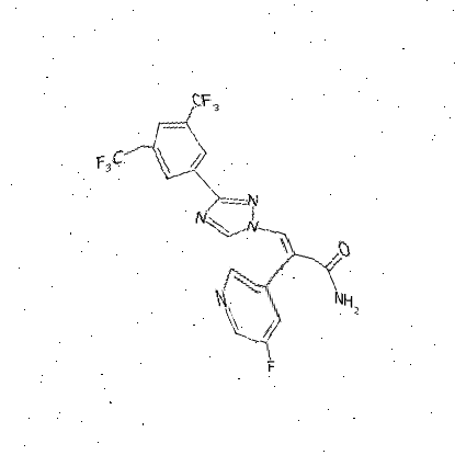 NC(=O)C(=Cn1cnc(-c2cc(C(F)(F)F)cc(C(F)(F)F)c2)n1)c1cncc(F)c1